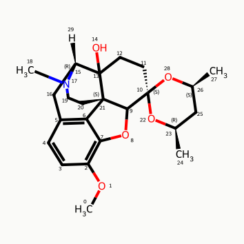 COc1ccc2c3c1OC1[C@]4(CCC5(O)[C@@H](C2)N(C)CC[C@]315)O[C@H](C)C[C@H](C)O4